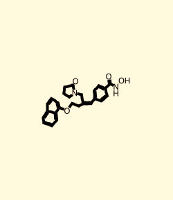 O=C(NO)c1ccc(/C=C(/CCOc2cccc3ccccc23)CN2CCCC2=O)cc1